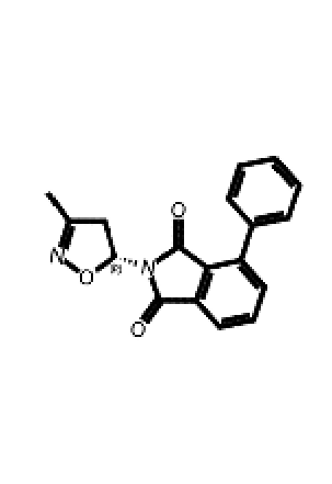 CC1=NO[C@@H](N2C(=O)c3cccc(-c4ccccc4)c3C2=O)C1